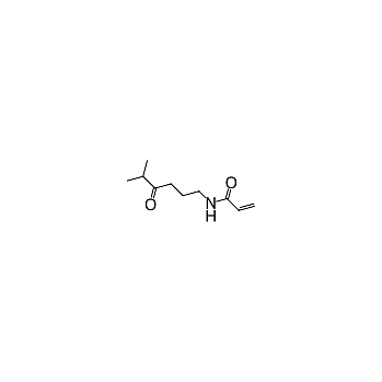 C=CC(=O)NCCCC(=O)C(C)C